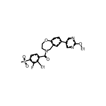 CCOc1ncc(-c2ccc3c(c2)CN(C(=O)c2ccc(S(C)(=O)=O)c(F)c2CC)CCO3)cn1